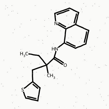 CCC(C)(Cc1cccs1)C(=O)Nc1cccc2cccnc12